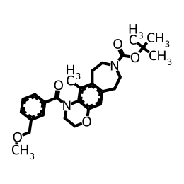 COCc1cccc(C(=O)N2CCOc3cc4c(c(C)c32)CCN(C(=O)OC(C)(C)C)CC4)c1